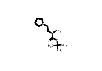 CC(C)(C)OC(=O)N(N)CCN1CCCC1